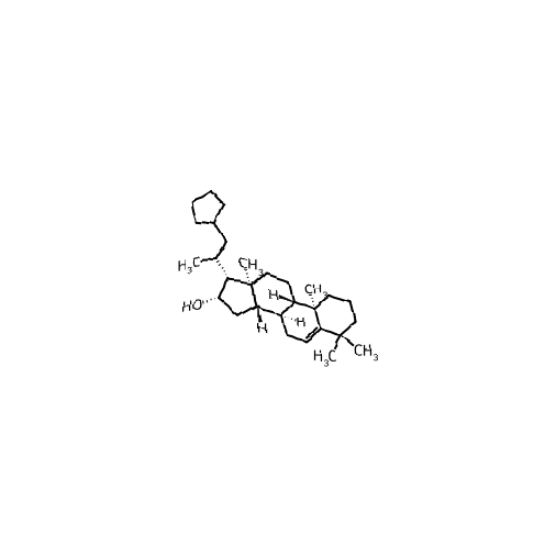 CC(CC1CCCC1)[C@H]1[C@@H](O)C[C@H]2[C@@H]3CC=C4C(C)(C)CCC[C@]4(C)[C@H]3CC[C@@]21C